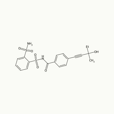 CCC(C)(O)C#Cc1ccc(C(=O)NS(=O)(=O)c2ccccc2S(N)(=O)=O)cc1